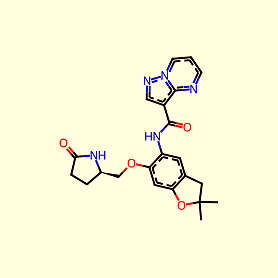 CC1(C)Cc2cc(NC(=O)c3cnn4cccnc34)c(OC[C@H]3CCC(=O)N3)cc2O1